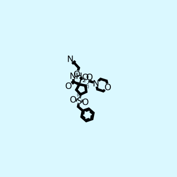 N#CCOC(=O)[C@]1(C(N)=O)C[C@H](S(=O)(=O)Cc2ccccc2)C[C@H]1C(=O)N1CCOCC1